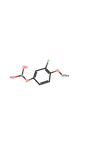 CCCCCCOc1ccc(OB(O)O)cc1F